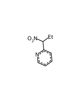 CCC(c1ccccn1)[N+](=O)[O-]